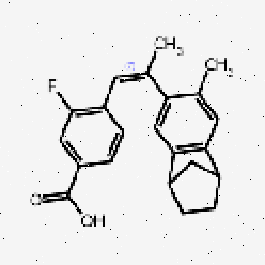 C/C(=C/c1ccc(C(=O)O)cc1F)c1cc2c(cc1C)C1CCC2C1